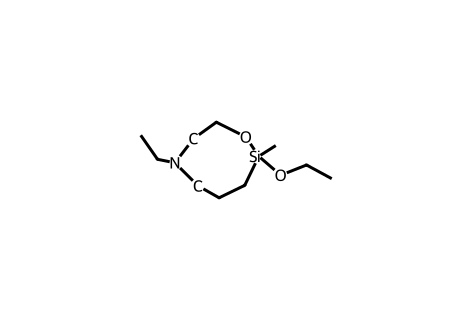 CCO[Si]1(C)CCCN(CC)CCO1